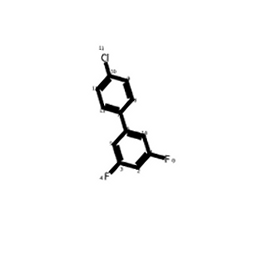 Fc1cc(F)cc(-c2ccc(Cl)cc2)c1